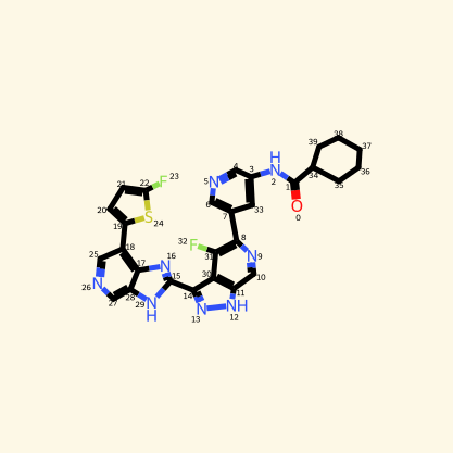 O=C(Nc1cncc(-c2ncc3[nH]nc(-c4nc5c(-c6ccc(F)s6)cncc5[nH]4)c3c2F)c1)C1CCCCC1